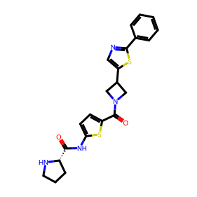 O=C(Nc1ccc(C(=O)N2CC(c3cnc(-c4ccccc4)s3)C2)s1)[C@@H]1CCCN1